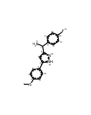 CSc1ccc(-c2cc(C(N)c3ccc(F)cc3)n[nH]2)cc1